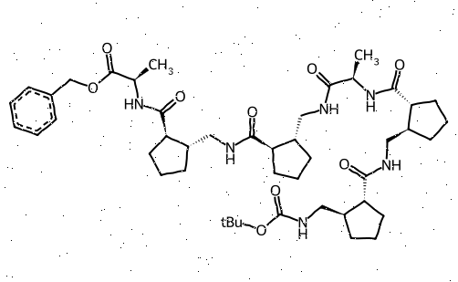 C[C@@H](NC(=O)[C@@H]1CCC[C@H]1CNC(=O)[C@@H]1CCC[C@H]1CNC(=O)OC(C)(C)C)C(=O)NC[C@@H]1CCC[C@H]1C(=O)NC[C@@H]1CCC[C@H]1C(=O)N[C@H](C)C(=O)OCc1ccccc1